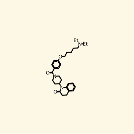 CCN(CC)CCCCCOc1ccc(C(=O)N2CCC(N3C(=O)CCc4ccccc43)CC2)cc1